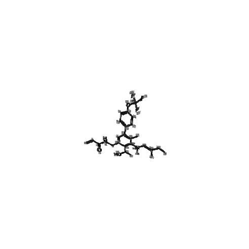 C=CC(=O)NCc1cc(-c2ccc(OC(F)(F)F)cc2)c(C)c(N(C)/C=C(\C)CC)c1C(C)O